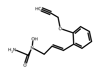 C#CCOc1ccccc1C=CCN(O)C(N)=O